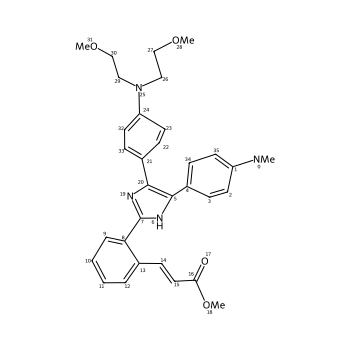 CNc1ccc(-c2[nH]c(-c3ccccc3/C=C/C(=O)OC)nc2-c2ccc(N(CCOC)CCOC)cc2)cc1